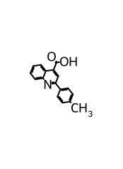 Cc1ccc(-c2cc(C(=O)O)c3ccccc3n2)cc1